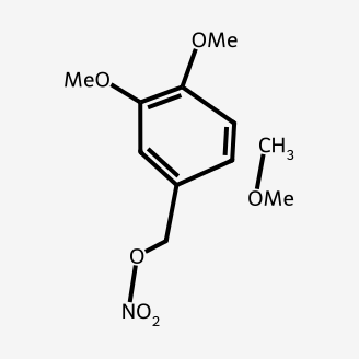 COC.COc1ccc(CO[N+](=O)[O-])cc1OC